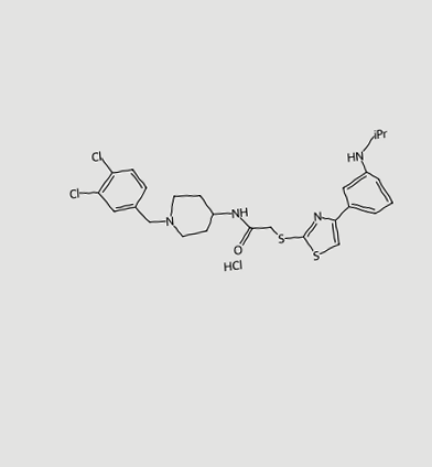 CC(C)Nc1cccc(-c2csc(SCC(=O)NC3CCN(Cc4ccc(Cl)c(Cl)c4)CC3)n2)c1.Cl